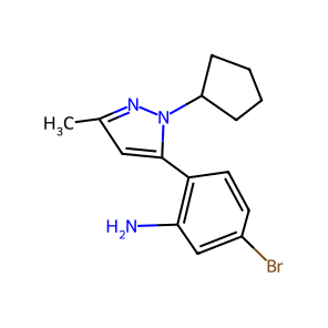 Cc1cc(-c2ccc(Br)cc2N)n(C2CCCC2)n1